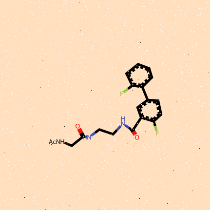 CC(=O)NCC(=O)NCCNC(=O)c1cc(-c2ccccc2F)ccc1F